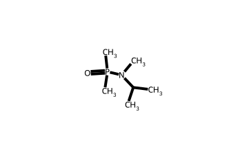 CC(C)N(C)P(C)(C)=O